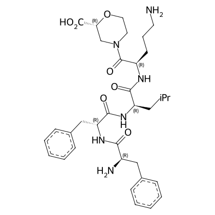 CC(C)C[C@@H](NC(=O)[C@@H](Cc1ccccc1)NC(=O)[C@H](N)Cc1ccccc1)C(=O)N[C@H](CCCN)C(=O)N1CCO[C@@H](C(=O)O)C1